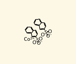 O=S(=O)([O-])c1ccc2ccccc2c1.O=S(=O)([O-])c1ccc2ccccc2c1.[Co+2]